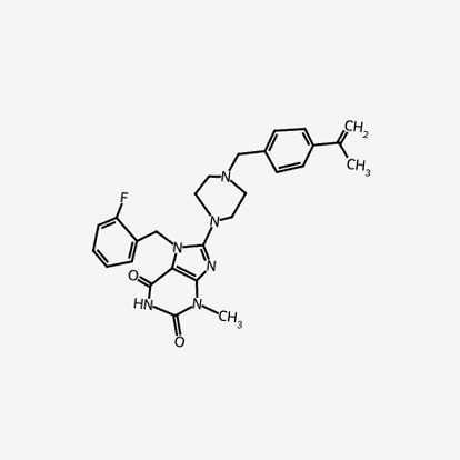 C=C(C)c1ccc(CN2CCN(c3nc4c(c(=O)[nH]c(=O)n4C)n3Cc3ccccc3F)CC2)cc1